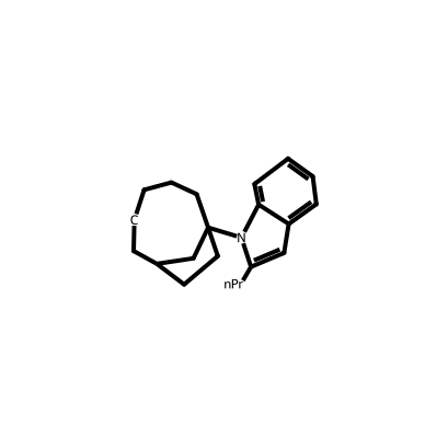 CCCc1cc2ccccc2n1C12CCCCCC(CC1)C2